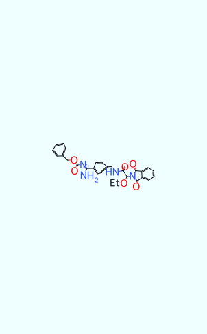 CCOC(C(=O)NCc1ccc(/C(N)=N/C(=O)OCc2ccccc2)cc1)N1C(=O)c2ccccc2C1=O